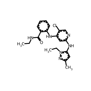 CCNC(=O)c1ccccc1Nc1cc(Nc2cc(C)nn2CC)ncc1Cl